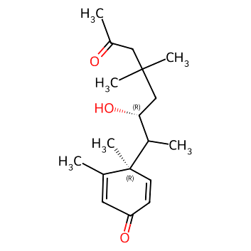 CC(=O)CC(C)(C)C[C@@H](O)C(C)[C@@]1(C)C=CC(=O)C=C1C